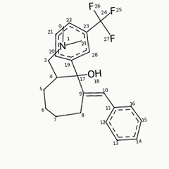 CN(C)CC1CCCCC(=Cc2ccccc2)C1(O)c1cccc(C(F)(F)F)c1